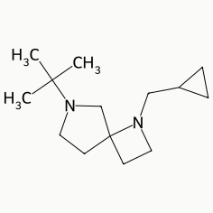 CC(C)(C)N1CCC2(CCN2CC2CC2)C1